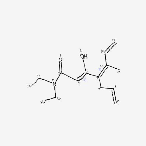 C=CCC(/C(O)=C/C(=O)N(CC)CC)=C(\C)C=C